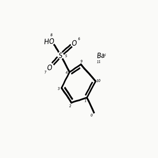 Cc1ccc(S(=O)(=O)O)cc1.[Ba]